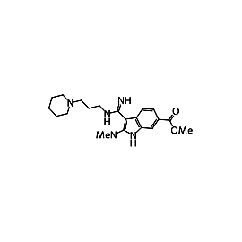 CNc1[nH]c2cc(C(=O)OC)ccc2c1C(=N)NCCCN1CCCCC1